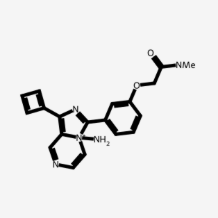 CNC(=O)COc1cccc(C2=NC(C3=CC=C3)=C3C=NC=C[N+]23N)c1